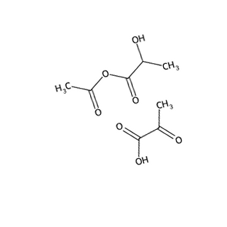 CC(=O)C(=O)O.CC(=O)OC(=O)C(C)O